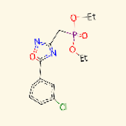 CCOP(=O)(Cc1noc(-c2cccc(Cl)c2)n1)OCC